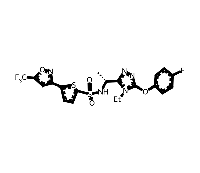 CCn1c(Oc2ccc(F)cc2)nnc1[C@@H](C)NS(=O)(=O)c1ccc(-c2cc(C(F)(F)F)on2)s1